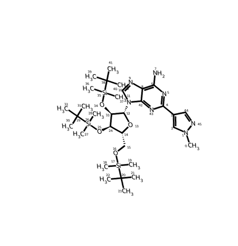 Cn1cc(-c2nc(N)c3ncn([C@@H]4O[C@H](CO[Si](C)(C)C(C)(C)C)[C@@H](O[Si](C)(C)C(C)(C)C)[C@H]4O[Si](C)(C)C(C)(C)C)c3n2)cn1